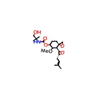 COC1C(OC(=O)NC(C)(C)CO)CC[C@]2(CO2)C1[C@H]1O[C@@H]1CC=C(C)C